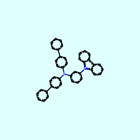 c1ccc(-c2ccc(N(c3ccc(-c4ccccc4)cc3)c3cccc(-n4c5ccccc5c5ccccc54)c3)cc2)cc1